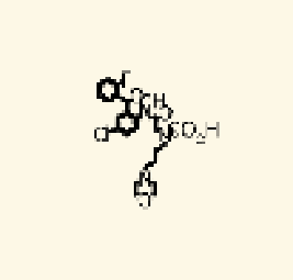 CN(C(=O)CN(CCCCN1CCOCC1)C(=O)O)c1ccc(Cl)cc1C(=O)c1ccccc1F